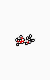 c1ccc(-c2ccccc2N(c2ccc3c(c2)-c2cc4ccccc4cc2C32c3ccccc3Sc3ccccc32)c2cccc3c2-c2ccccc2C32c3ccccc3Oc3ccccc32)cc1